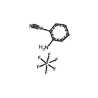 F[P-](F)(F)(F)(F)F.N#[N+]c1ccccc1N